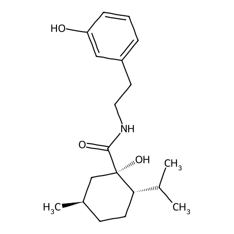 CC(C)[C@@H]1CC[C@@H](C)C[C@@]1(O)C(=O)NCCc1cccc(O)c1